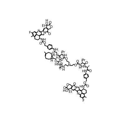 CC[C@@]1(O)C(=O)OCc2c1cc1n(c2=O)Cc2c-1nc1cc(F)c(C)c3c1c2[C@@H](NC(=O)OCc1ccc(NC(=O)[C@H](C)NC(=O)[C@@H](NC(=O)OCCN(CCNS(=O)(=O)NC(=O)OCC2[C@H]4CC/C(C)=C\CC[C@@H]24)CCOC(=O)N[C@H](C(=O)N[C@@H](C)C(=O)Nc2ccc(COC(=O)N[C@H]4CCc5c(C)c(F)cc6nc7c(c4c56)Cn4c-7cc5c(c4=O)COC(=O)[C@]5(O)CC)cc2)C(C)C)C(C)C)cc1)CC3